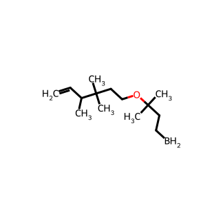 BCCC(C)(C)OCCC(C)(C)C(C)C=C